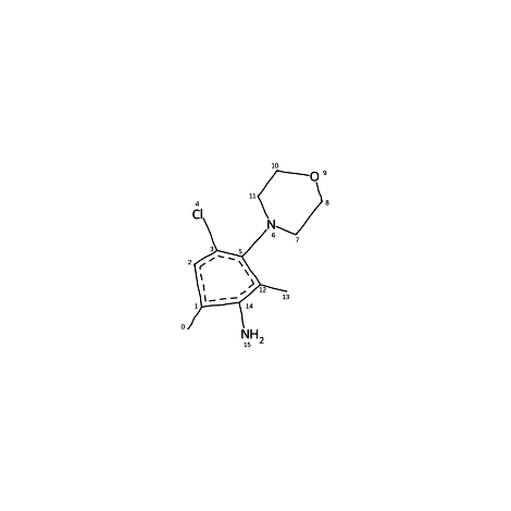 Cc1cc(Cl)c(N2CCOCC2)c(C)c1N